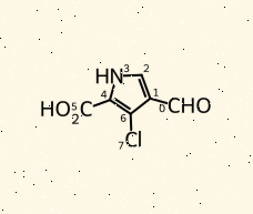 O=Cc1c[nH]c(C(=O)O)c1Cl